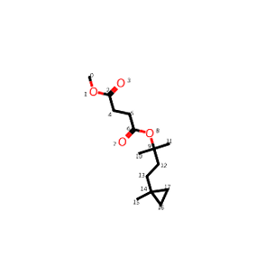 COC(=O)CCC(=O)OC(C)(C)CCC1(C)CC1